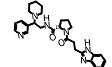 O=C(NCC(c1cccnc1)N1CCCCC1)[C@@H]1CCCN1C(=O)CCc1nc2ccccc2[nH]1